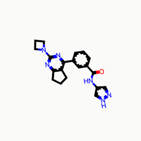 O=C(Nc1cn[nH]c1)c1cccc(-c2nc(N3CCC3)nc3c2CCC3)c1